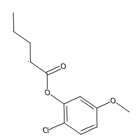 CCC[CH]C(=O)Oc1cc(OC)ccc1Cl